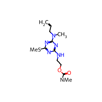 C=CCN(C)c1nc(NCCOC(=O)NC)nc(SC)n1